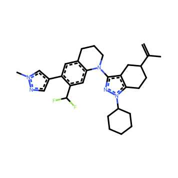 C=C(C)C1CCc2c(c(N3CCCc4cc(-c5cnn(C)c5)c(C(F)F)cc43)nn2C2CCCCC2)C1